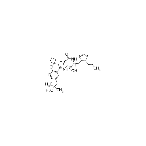 CCCc1scnc1C[C@H](NC(C)=O)[C@H](O)CN[C@H]1CC2(CCC2)Oc2ncc(CC(C)(C)C)cc21